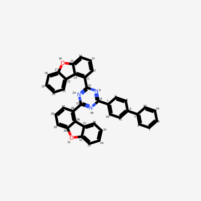 c1ccc(-c2ccc(-c3nc(-c4cccc5oc6ccccc6c45)nc(-c4cccc5oc6ccccc6c45)n3)cc2)cc1